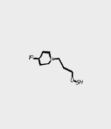 FC1CCN(CCCOS)CC1